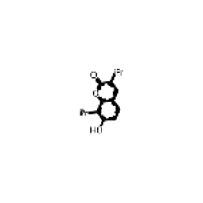 CC(C)c1cc2ccc(O)c(C(C)C)c2oc1=O